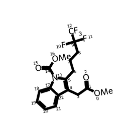 COC(=O)Cc1c(CCCC(F)(F)C(F)(F)F)n(C(=O)OC)c2ccccc12